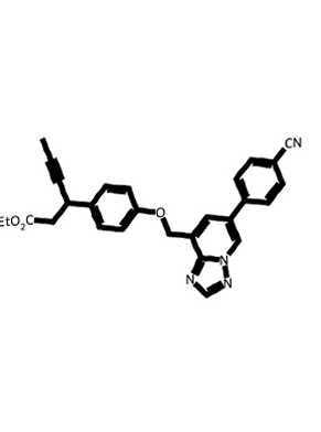 CC#CC(CC(=O)OCC)c1ccc(OCc2cc(-c3ccc(C#N)cc3)cn3ncnc23)cc1